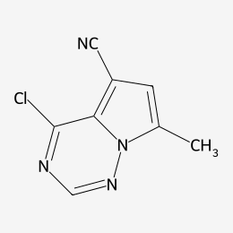 Cc1cc(C#N)c2c(Cl)ncnn12